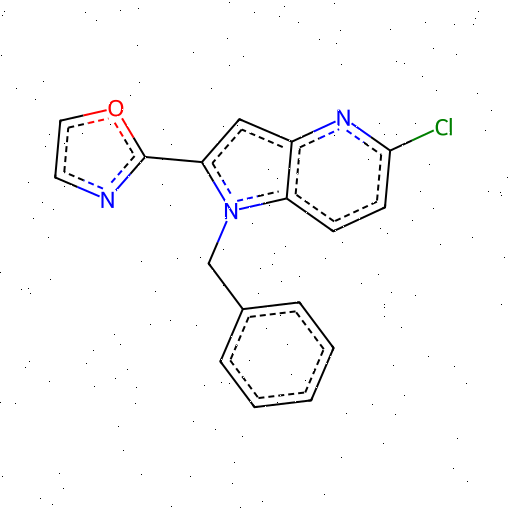 Clc1ccc2c(cc(-c3ncco3)n2Cc2ccccc2)n1